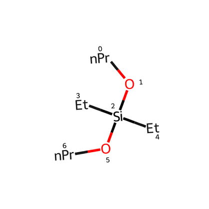 CCCO[Si](CC)(CC)OCCC